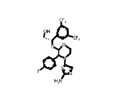 Nc1ncc(N2CCOC(O[C@H](CO)c3cc(C(F)(F)F)cc(C(F)(F)F)c3)C2c2ccc(F)cc2)s1